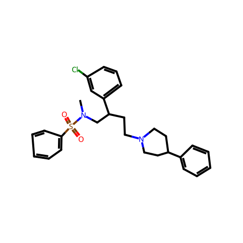 CN(CC(CCN1CCC(c2ccccc2)CC1)c1cccc(Cl)c1)S(=O)(=O)c1ccccc1